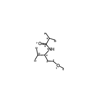 COCCC(NC(=O)C(C)C)C(C)C